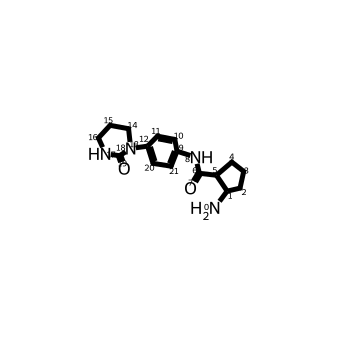 NC1CCCC1C(=O)Nc1ccc(N2CCCNC2=O)cc1